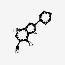 N#Cc1c[nH]c2cc(-c3ccccc3)sc2c1=O